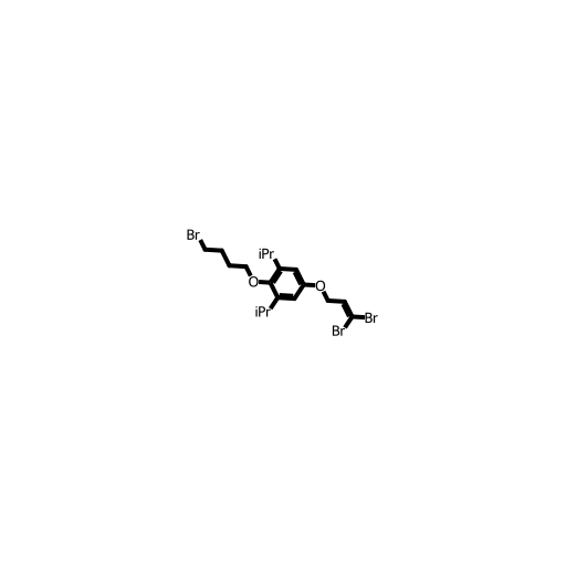 CC(C)c1cc(OCC=C(Br)Br)cc(C(C)C)c1OCCCCBr